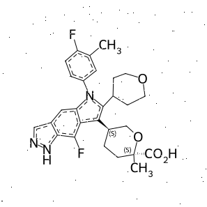 Cc1cc(-n2c(C3CCOCC3)c([C@@H]3CC[C@@](C)(C(=O)O)OC3)c3c(F)c4[nH]ncc4cc32)ccc1F